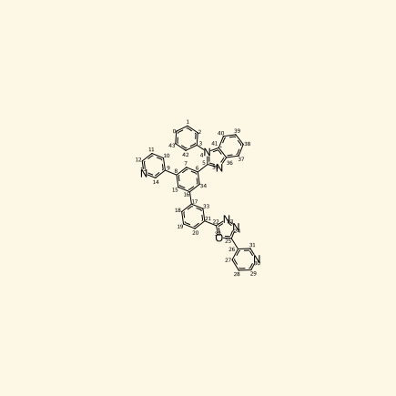 c1ccc(-n2c(-c3cc(-c4cccnc4)cc(-c4cccc(-c5nnc(-c6cccnc6)o5)c4)c3)nc3ccccc32)cc1